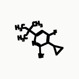 CC(C)(C)c1cc(F)c(C2CC2)c(Br)n1